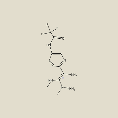 CN/C(=C(/N)c1ccc(NC(=O)C(F)(F)F)cn1)N(C)N